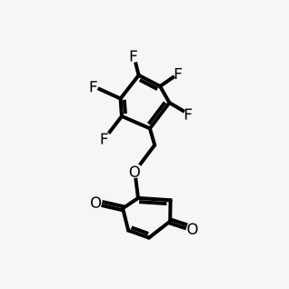 O=C1C=CC(=O)C(OCc2c(F)c(F)c(F)c(F)c2F)=C1